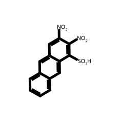 O=[N+]([O-])c1cc2cc3ccccc3cc2c(S(=O)(=O)O)c1[N+](=O)[O-]